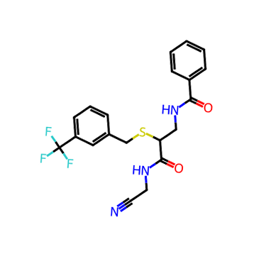 N#CCNC(=O)C(CNC(=O)c1ccccc1)SCc1cccc(C(F)(F)F)c1